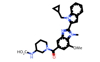 COc1cc(C(=O)N2CCCC(NC(=O)O)C2)cc2nc(-c3cc4ccccc4n3CC3CC3)n(C)c12